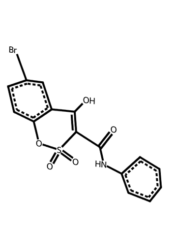 O=C(Nc1ccccc1)C1=C(O)c2cc(Br)ccc2OS1(=O)=O